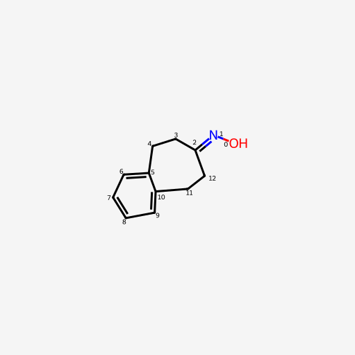 ON=C1CCc2ccccc2CC1